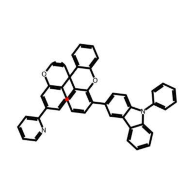 c1ccc(-n2c3ccccc3c3cc(-c4cccc5c4Oc4ccccc4C54c5ccccc5Oc5cc(-c6ccccn6)ccc54)ccc32)cc1